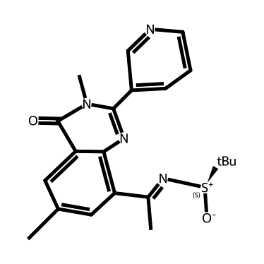 CC(=N[S@+]([O-])C(C)(C)C)c1cc(C)cc2c(=O)n(C)c(-c3cccnc3)nc12